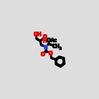 CC(=O)OC(C)N(CC(O)CO)C(=O)OCc1ccccc1